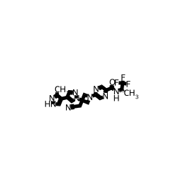 Cc1n[nH]cc1-c1cnn(C2(CC#N)CN(c3cnc(C(=O)N[C@@H](C)C(F)(F)F)cn3)C2)c1